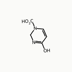 O=C(O)N1C=CC(O)=NC1